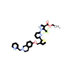 CCOC(=O)c1cnn(-c2cccc(-c3sccc3COc3ccc4c(c3)CCN(Cc3ccccn3)C4)n2)c1C(F)(F)F